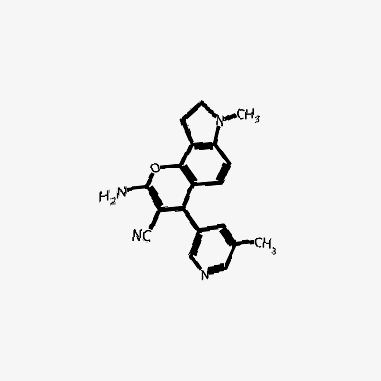 Cc1cncc(C2C(C#N)=C(N)Oc3c2ccc2c3CCN2C)c1